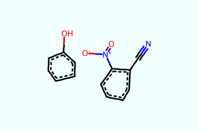 N#Cc1ccccc1[N+](=O)[O-].Oc1ccccc1